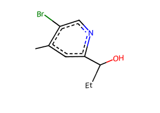 CCC(O)c1cc(C)c(Br)cn1